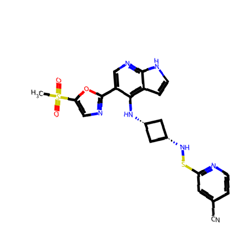 CS(=O)(=O)c1cnc(-c2cnc3[nH]ccc3c2N[C@H]2C[C@@H](NSc3cc(C#N)ccn3)C2)o1